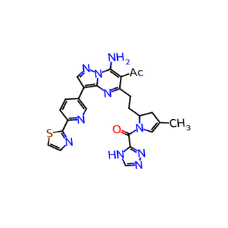 CC(=O)c1c(CCC2CC(C)=CN2C(=O)c2nnc[nH]2)nc2c(-c3ccc(-c4nccs4)nc3)cnn2c1N